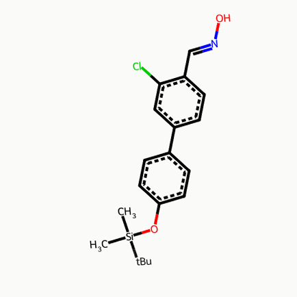 CC(C)(C)[Si](C)(C)Oc1ccc(-c2ccc(C=NO)c(Cl)c2)cc1